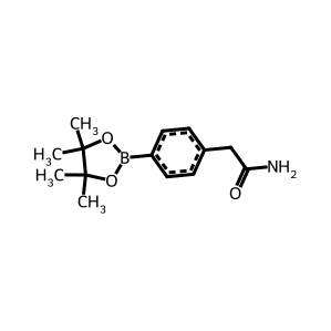 CC1(C)OB(c2ccc(CC(N)=O)cc2)OC1(C)C